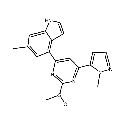 Cn1nccc1-c1cc(-c2cc(F)cc3[nH]ccc23)nc([S+](C)[O-])n1